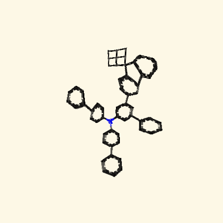 c1ccc(-c2ccc(N(c3ccc(-c4ccccc4)cc3)c3cc(-c4ccccc4)cc(-c4ccc5c(c4)-c4ccccc4C54C5CC6CC7CC4C675)c3)cc2)cc1